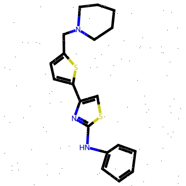 c1ccc(Nc2nc(-c3ccc(CN4CCCCC4)s3)cs2)cc1